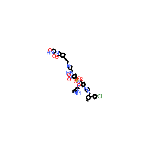 CC1(C)CCC(CN2CCN(c3ccc(C(=O)NS(=O)(=O)c4ccc(NCC5CCN(CCC#Cc6ccc7c(c6)C(=O)N(C6CCC(=O)NC6=O)C7)CC5)c([N+](=O)[O-])c4)c(Oc4cnc5[nH]ccc5c4)c3)CC2)=C(c2ccc(Cl)cc2)C1